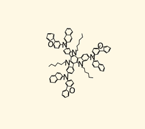 CCCCCCn1c2cc(N(c3ccc4ccccc4c3)c3ccc4oc5ccccc5c4c3)ccc2c2c1c1c3ccc(N(c4ccc5ccccc5c4)c4ccc5oc6ccccc6c5c4)cc3n(CCCCCC)c1c1c3ccc(N(c4ccc5ccccc5c4)c4ccc5oc6ccccc6c5c4)cc3n(CCCCCC)c21